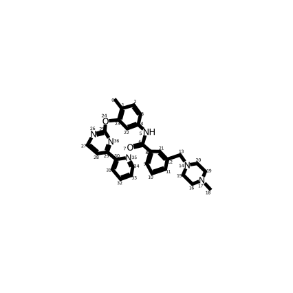 Cc1ccc(NC(=O)c2cccc(CN3CCN(C)CC3)c2)cc1Oc1nccc(-c2ccccn2)n1